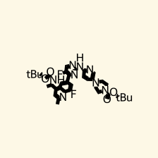 Cc1cc(C(C)NC(=O)OC(C)(C)C)c2cc(-c3nc(Nc4ccc(N5CCN(C(=O)OC(C)(C)C)CC5)cn4)ncc3F)cc(F)c2n1